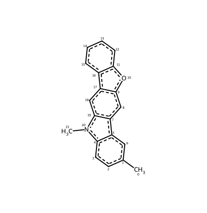 Cc1ccc2c(c1)c1cc3oc4ccccc4c3cc1n2C